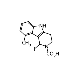 Cc1cccc2[nH]c3c(c12)C(I)N(C(=O)O)CC3